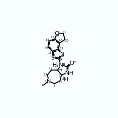 CN1CC[C@@H]2NC(=O)N(c3nc4c5c(ccc4s3)OCC5)[C@@H]2CC1